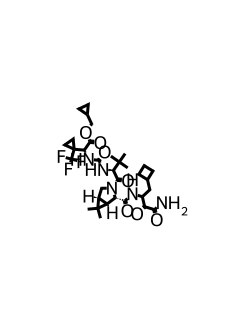 CC(C)(C)[C@H](NC(=O)N[C@H](C(=O)OCC1CC1)C1(C(F)(F)F)CC1)C(=O)N1C[C@H]2[C@@H]([C@H]1C(=O)NC(CC1CCC1)C(=O)C(N)=O)C2(C)C